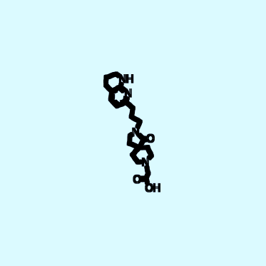 O=C(O)CN1CCC2(CC1)CCN(CCCc1ccc3c(n1)NCCC3)C2=O